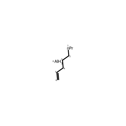 [AlH3].[CH2]CCCCCC=C